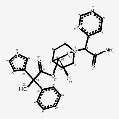 NC(=O)C(c1ccncn1)[N+]12CCC(CC1)[C@@H](OC(=O)C(O)(c1ccccc1)c1ccsc1)C2